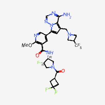 COc1ncc(-c2cc(CN3CC(C(F)(F)F)C3)c3c(N)ncnn23)cc1C(=O)N[C@@H]1CN(C(=O)C2CC(F)(F)C2)C[C@@H]1F